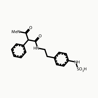 CNC(=O)C(C(=O)NCCc1ccc(NS(=O)(=O)O)cc1)c1ccccc1